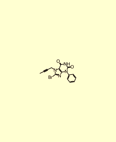 CC#CCn1c(Br)nc2c1c(=O)[nH]c(=O)n2-c1ccccc1